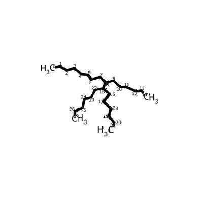 CCCCCCCCC(CCCCCC)[C](CCCCCC)CCCCCC